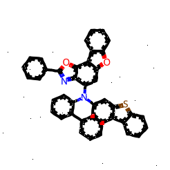 c1ccc(-c2nc3c(N(c4ccc5c(c4)sc4ccccc45)c4ccccc4-c4ccccc4)cc4oc5ccccc5c4c3o2)cc1